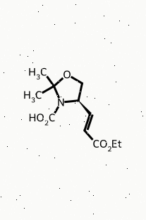 CCOC(=O)/C=C/[C@@H]1COC(C)(C)N1C(=O)O